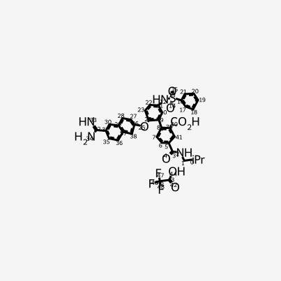 CC(C)CNC(=O)c1ccc(-c2cc(NS(=O)(=O)c3ccccc3)ccc2Oc2ccc3cc(C(=N)N)ccc3c2)c(C(=O)O)c1.O=C(O)C(F)(F)F